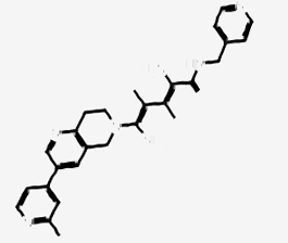 CC(=C(/N)C(=O)NCc1ccncc1)/C(C)=C(\N)N1CCc2ncc(-c3ccnc(C)c3)cc2C1